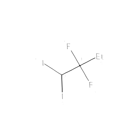 CCC(F)(F)C(I)I